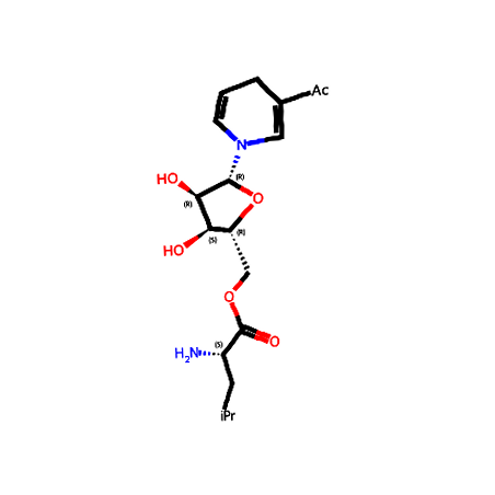 CC(=O)C1=CN([C@@H]2O[C@H](COC(=O)[C@@H](N)CC(C)C)[C@@H](O)[C@H]2O)C=CC1